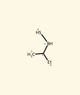 CCC(C)BS